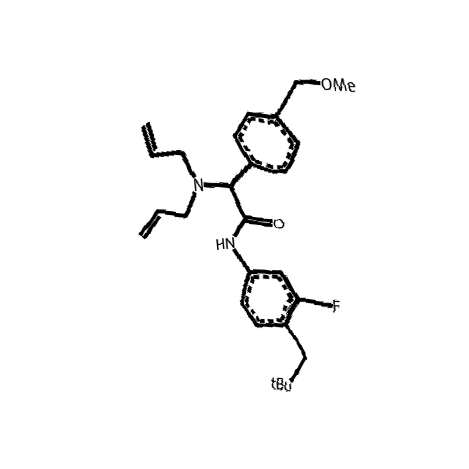 C=CCN(CC=C)C(C(=O)Nc1ccc(CC(C)(C)C)c(F)c1)c1ccc(COC)cc1